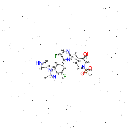 Cc1nc2c(F)cc(-c3nc(C[C@@H]4CCN(S(C)(=O)=O)C[C@H]4O)ncc3F)cc2n1C1CNC1